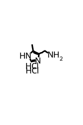 Cc1[nH]cnc1CN.Cl.Cl